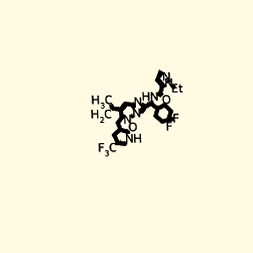 C=C(C)c1cc2nc([C@@H](NC(=O)c3ccnn3CC)C3CCC(F)(F)CC3)cn2nc1CC1C[C@@H](C(F)(F)F)CNC1=O